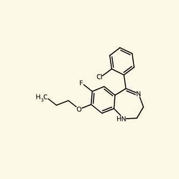 CCCOc1cc2c(cc1F)C(c1ccccc1Cl)=NCCN2